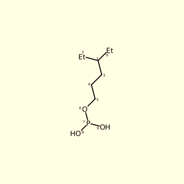 CCC(CC)CCCOP(O)O